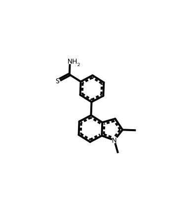 Cc1cc2c(-c3cccc(C(N)=S)c3)cccc2n1C